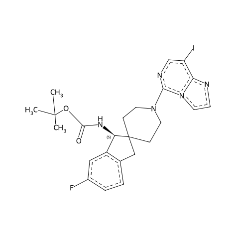 CC(C)(C)OC(=O)N[C@@H]1c2cc(F)ccc2CC12CCN(c1ncc(I)c3nccn13)CC2